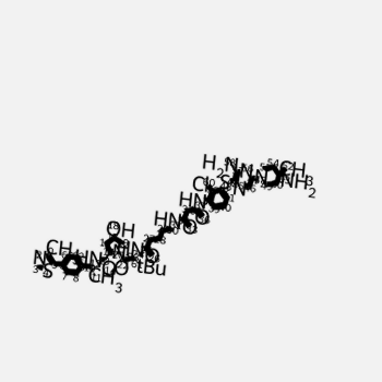 Cc1ncsc1-c1ccc([C@@H](C)NC(=O)[C@H]2C[C@H](O)CN2C(=O)[C@H](NC(=O)CCCCNC(=O)CC(=O)Nc2cccc(Sc3ncc(N4CCC(C)(N)CC4)nc3N)c2Cl)C(C)(C)C)cc1